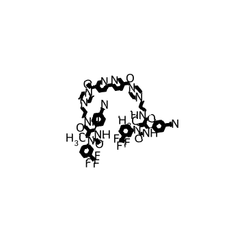 CC1=C(C(=O)NCCCN2CCN(C(=O)c3ccc(-c4ccc(C(=O)N5CCN(CCCNC(=O)C6=C(C)N(c7cccc(C(F)(F)F)c7)C(=O)N[C@@H]6c6ccc(C#N)cc6)CC5)cn4)nc3)CC2)[C@@H](c2ccc(C#N)cc2)NC(=O)N1c1cccc(C(F)(F)F)c1